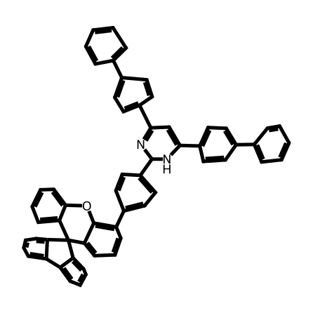 C1=C(c2ccc(-c3ccccc3)cc2)NC(c2ccc(-c3cccc4c3Oc3ccccc3C43c4ccccc4-c4ccccc43)cc2)N=C1c1ccc(-c2ccccc2)cc1